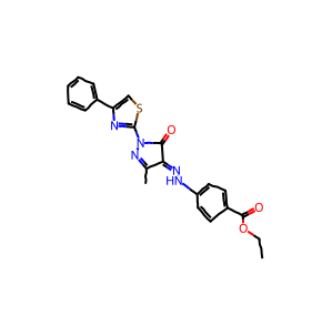 CCOC(=O)c1ccc(N/N=C2/C(=O)N(c3nc(-c4ccccc4)cs3)N=C2C)cc1